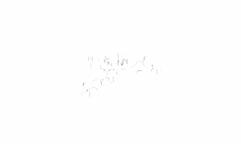 COc1ccc(-c2cc(N/C(=N\C(=O)c3ccc(C(F)(F)F)cc3)NC(C)(C)C)[nH]n2)cc1F